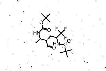 C[C@@H](NC(=O)OC(C)(C)C)[C@H](C=O)CC(N[S@+]([O-])C(C)(C)C)C(F)(F)F